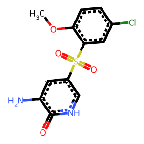 COc1ccc(Cl)cc1S(=O)(=O)c1[c]c(N)c(=O)[nH]c1